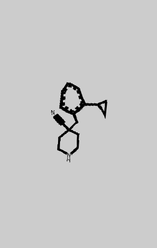 N#CC1(Cc2ccccc2C2CC2)CCNCC1